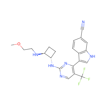 COCCN[C@H]1CC[C@@H]1Nc1ncc(C(F)(F)F)c(-c2c[nH]c3cc(C#N)ccc23)n1